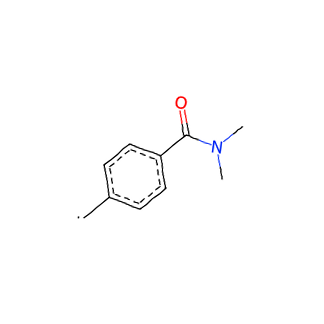 [CH2]c1ccc(C(=O)N(C)C)cc1